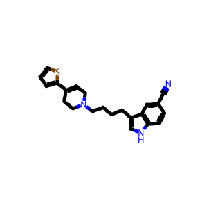 N#Cc1ccc2[nH]cc(CCCCN3CC=C(c4cccs4)CC3)c2c1